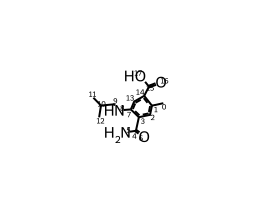 Cc1cc(C(N)=O)c(NCC(C)C)cc1C(=O)O